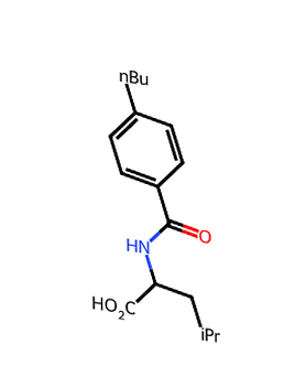 CCCCc1ccc(C(=O)NC(CC(C)C)C(=O)O)cc1